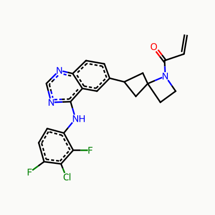 C=CC(=O)N1CCC12CC(c1ccc3ncnc(Nc4ccc(F)c(Cl)c4F)c3c1)C2